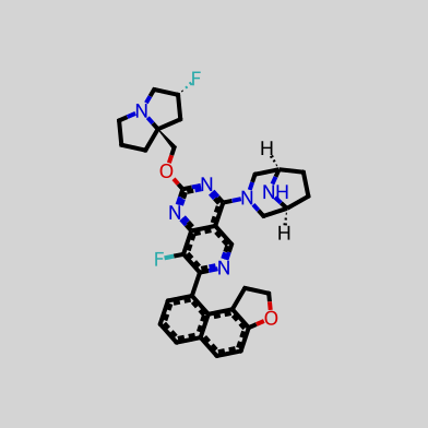 Fc1c(-c2cccc3ccc4c(c23)CCO4)ncc2c(N3C[C@H]4CC[C@@H](C3)N4)nc(OC[C@@]34CCCN3C[C@H](F)C4)nc12